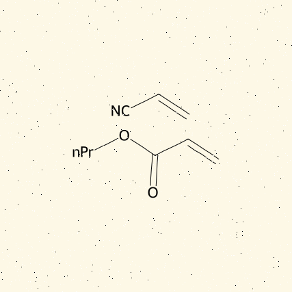 C=CC#N.C=CC(=O)OCCC